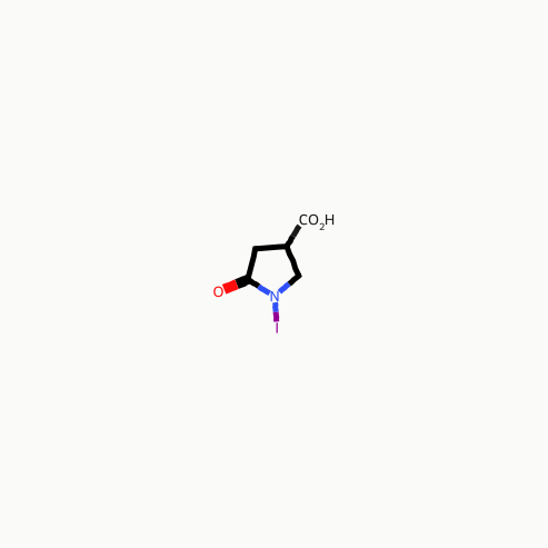 O=C(O)C1CC(=O)N(I)C1